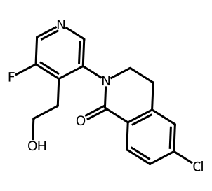 O=C1c2ccc(Cl)cc2CCN1c1cncc(F)c1CCO